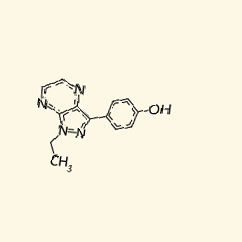 CCn1nc(-c2ccc(O)cc2)c2nccnc21